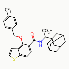 O=C(NC(C(=O)O)C12CC3CC(CC(C3)C1)C2)c1ccc2sccc2c1OCc1ccc(C(F)(F)F)cc1